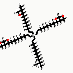 FC(F)(F)C(F)(C(F)(F)F)C(F)(F)C(F)(F)C(F)(F)C(F)(F)C(F)(F)C(F)(F)CC[B-](CCC(F)(F)C(F)(F)C(F)(F)C(F)(F)C(F)(F)C(F)(F)C(F)(C(F)(F)F)C(F)(F)F)(CCC(F)(F)C(F)(F)C(F)(F)C(F)(F)C(F)(F)C(F)(F)C(F)(C(F)(F)F)C(F)(F)F)CCC(F)(F)C(F)(F)C(F)(F)C(F)(F)C(F)(F)C(F)(F)C(F)(C(F)(F)F)C(F)(F)F